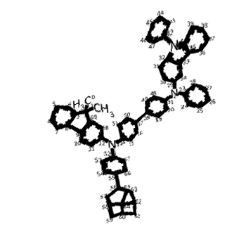 CC1(C)c2ccccc2-c2ccc(N(c3ccc(-c4ccc(N(c5ccccc5)c5ccc6c(c5)c5ccccc5n6-c5ccccc5)cc4)cc3)c3ccc(C45CC6CC7CC(C4)C76C5)cc3)cc21